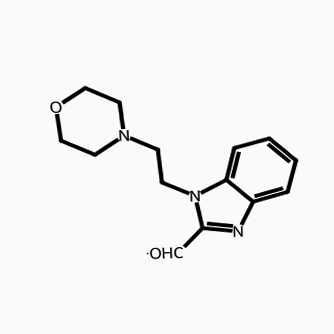 O=[C]c1nc2ccccc2n1CCN1CCOCC1